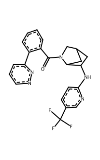 O=C(c1ccccc1-c1cccnn1)N1CC2CC(Nc3ccc(C(F)(F)F)cn3)C1C2